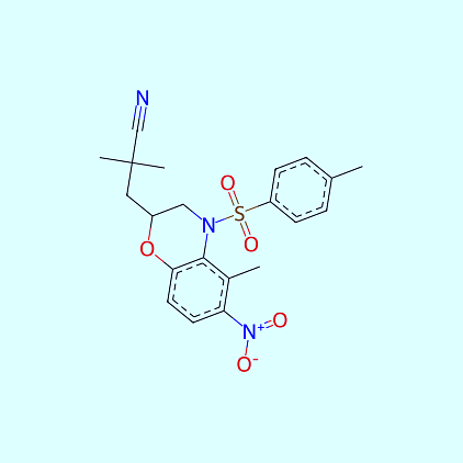 Cc1ccc(S(=O)(=O)N2CC(CC(C)(C)C#N)Oc3ccc([N+](=O)[O-])c(C)c32)cc1